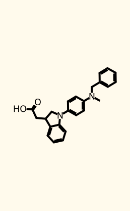 CN(Cc1ccccc1)c1ccc(N2CC(CC(=O)O)c3ccccc32)cc1